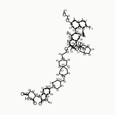 C#Cc1c(F)ccc2cc(OCOC)cc(-c3ncc4c(N5CC6CCC(C5)N6C(=O)OC(C)(C)C)nc(OCCN5CCC6(CC5)CCN(CC5CCN(c7ccc8c(c7)n(C)c(=O)n8C7CCC(=O)NC7=O)CC5)CC6)nc4c3F)c12